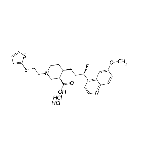 COc1ccc2nccc([C@H](F)CC[C@@H]3CCN(CCSc4cccs4)C[C@@H]3C(=O)O)c2c1.Cl.Cl